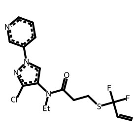 C=CC(F)(F)SCCC(=O)N(CC)c1cn(-c2cccnc2)nc1Cl